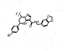 O=C(NCc1ccc2c(c1)OCO2)c1cnn2c1NC(c1ccc(Br)cc1)CC2C(F)(F)F